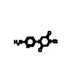 CCN1CC(=O)N(c2ccc(N)nc2)CC1=O